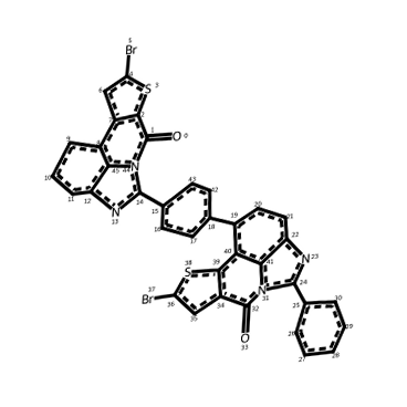 O=c1c2sc(Br)cc2c2cccc3nc(-c4ccc(-c5ccc6nc(-c7ccccc7)n7c(=O)c8cc(Br)sc8c5c67)cc4)n1c32